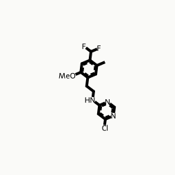 COc1cc(C(F)F)c(C)cc1CCNc1cc(Cl)ncn1